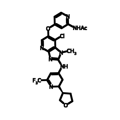 CC(=O)Nc1cc(Oc2cnc3nc(NC4=CC(C(F)(F)F)=NC([C@H]5CCOC5)C4)n(C)c3c2Cl)ccn1